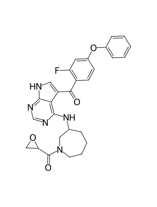 O=C(c1ccc(Oc2ccccc2)cc1F)c1c[nH]c2ncnc(NC3CCCCN(C(=O)C4CO4)C3)c12